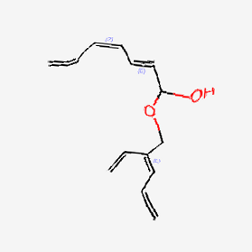 C=C/C=C\C=C\C(O)OC/C(C=C)=C/C=C